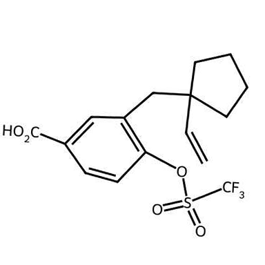 C=CC1(Cc2cc(C(=O)O)ccc2OS(=O)(=O)C(F)(F)F)CCCC1